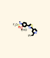 CC(C)Cc1cc(-c2nc(-c3ccc(N(C)[S+]([O-])C(F)(F)F)c(OC=O)c3)cs2)ccn1